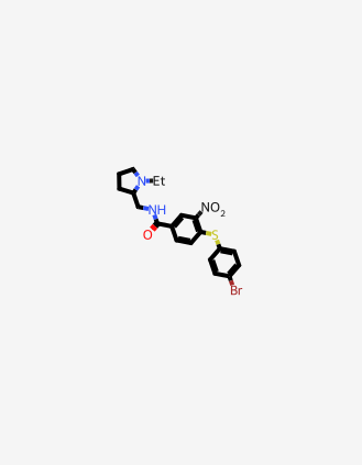 CCN1CCCC1CNC(=O)c1ccc(Sc2ccc(Br)cc2)c([N+](=O)[O-])c1